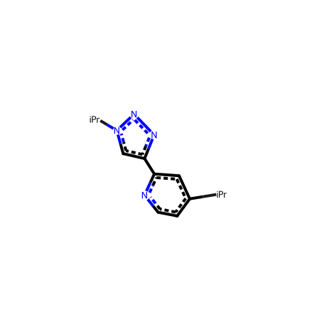 CC(C)c1ccnc(-c2cn(C(C)C)nn2)c1